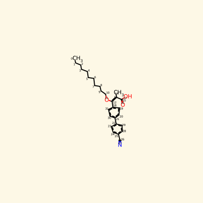 CCCCCCCCCCCOC(=C(C)C(=O)O)c1ccc(-c2ccc(C#N)cc2)cc1